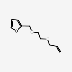 C=CCOCCOCc1ccco1